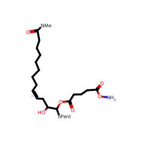 CCCCCC(OC(=O)CCCC(=O)ON)C(O)C/C=C\CCCCCCCC(=O)NC